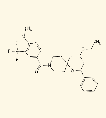 CCOC1CC(c2ccccc2)OC2(CCN(C(=O)c3ccc(OC)c(C(F)(F)F)c3)CC2)C1